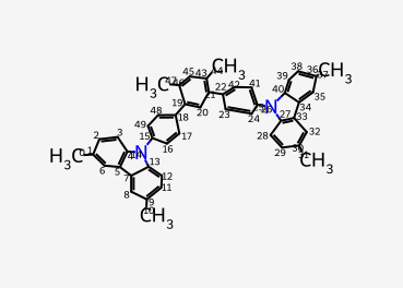 Cc1ccc2c(c1)c1cc(C)ccc1n2-c1ccc(-c2cc(-c3ccc(-n4c5ccc(C)cc5c5cc(C)ccc54)cc3)c(C)cc2C)cc1